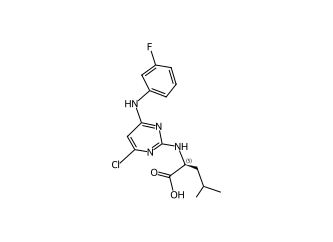 CC(C)C[C@H](Nc1nc(Cl)cc(Nc2cccc(F)c2)n1)C(=O)O